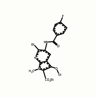 CCOC(=O)c1c(OCC)c2cc(NC(=O)c3ccc(F)cc3)c(CC)nc2n1C